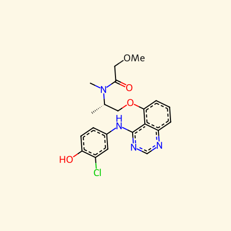 COCC(=O)N(C)[C@@H](C)COc1cccc2ncnc(Nc3ccc(O)c(Cl)c3)c12